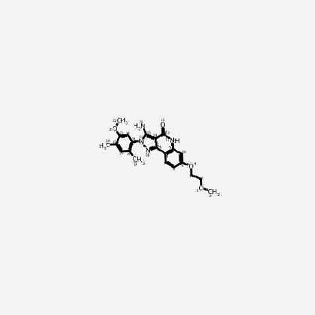 COCCOc1ccc2c(c1)[nH]c(=O)c1c(N)n(-c3cc(OC)c(C)cc3C)nc12